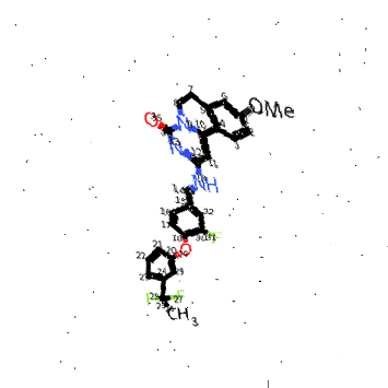 COc1ccc2c(c1)CCn1c-2cc(NCc2ccc(Oc3cccc(C(C)(F)F)c3)c(F)c2)nc1=O